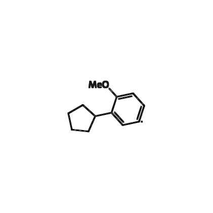 COc1cc[c]cc1C1CCCC1